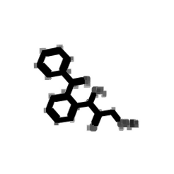 CCOC(=O)CC(=O)C(C)c1ccccc1C(=O)c1ccccc1